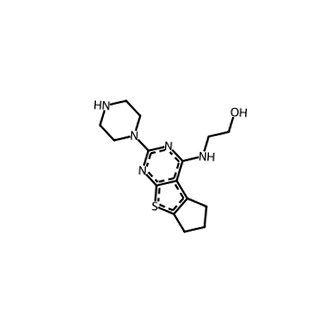 OCCNc1nc(N2CCNCC2)nc2sc3c(c12)CCC3